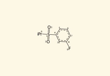 CC(C)S(=O)(=O)c1cccc(F)c1